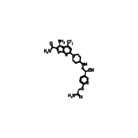 NC(=O)CSc1ccc(C(O)CNC2CCN(c3cc(C(F)(F)F)c4c(N)c(C(N)=O)sc4n3)CC2)cn1